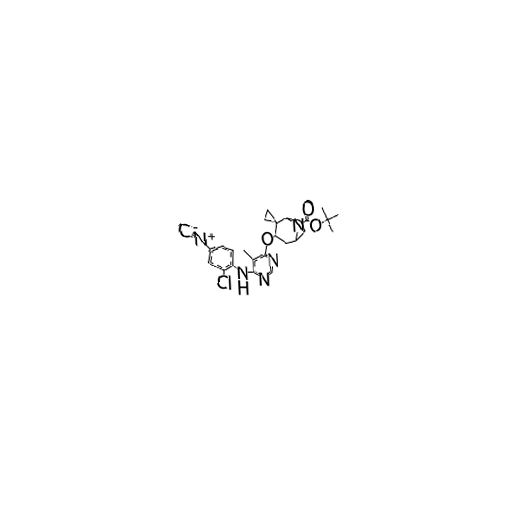 [C-]#[N+]c1ccc(Nc2ncnc(OC3CC4CCC(N4C(=O)OC(C)(C)C)C34CC4)c2C)c(Cl)c1